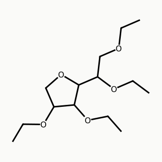 CCOCC(OCC)C1OCC(OCC)C1OCC